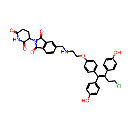 O=C1CCC(N2C(=O)c3ccc(CNCCOc4ccc(C(=C(CCCl)c5ccc(O)cc5)c5ccc(O)cc5)cc4)cc3C2=O)C(=O)N1